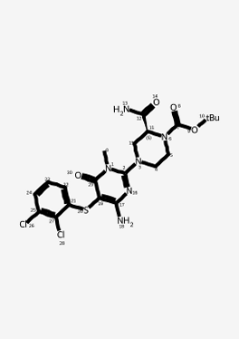 Cn1c(N2CCN(C(=O)OC(C)(C)C)[C@H](C(N)=O)C2)nc(N)c(Sc2cccc(Cl)c2Cl)c1=O